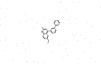 CCc1ccc2nc(C)cc(-c3cccc(-c4ccccc4)c3)c2c1